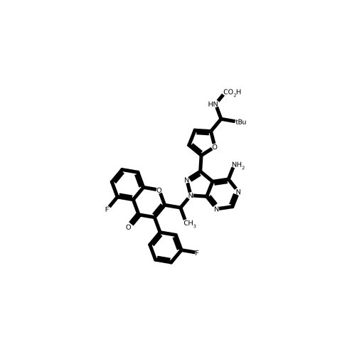 CC(c1oc2cccc(F)c2c(=O)c1-c1cccc(F)c1)n1nc(-c2ccc(C(NC(=O)O)C(C)(C)C)o2)c2c(N)ncnc21